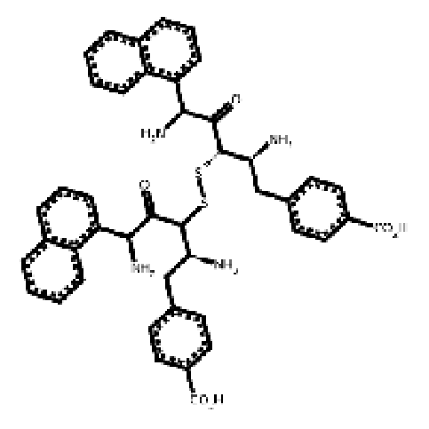 NC(C(=O)C(SS[C@H](C(=O)C(N)c1cccc2ccccc12)[C@@H](N)Cc1ccc(C(=O)O)cc1)[C@@H](N)Cc1ccc(C(=O)O)cc1)c1cccc2ccccc12